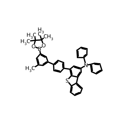 Cc1cc(B2OC(C)(C)C(C)(C)O2)cc(-c2ccc(-c3cc(N(c4ccccc4)c4ccccc4)cc4c3sc3ccccc34)cc2)c1